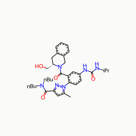 CCCCN(CCCC)C(=O)c1cc(C)n(-c2ccc(NC(=O)NC(C)C)cc2C(=O)N2Cc3ccccc3C[C@H]2CO)n1